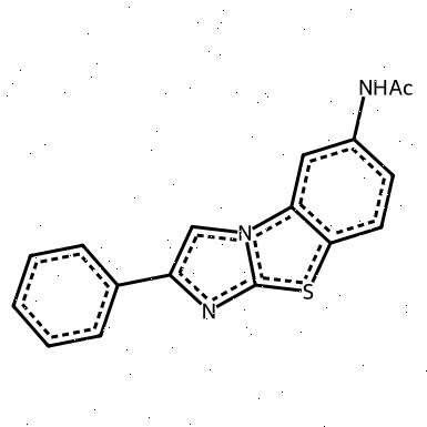 CC(=O)Nc1ccc2sc3nc(-c4ccccc4)cn3c2c1